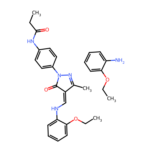 CCOc1ccccc1N.CCOc1ccccc1NC=C1C(=O)N(c2ccc(NC(=O)CC)cc2)N=C1C